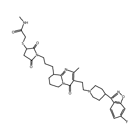 CNC(=O)CSC1CC(=O)N(CCCC2CCCn3c2nc(C)c(CCN2CCC(c4noc5cc(F)ccc45)CC2)c3=O)C1=O